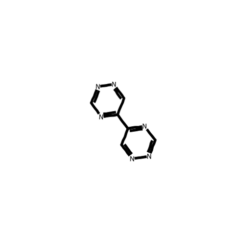 c1nncc(-c2cnncn2)n1